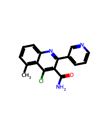 Cc1cccc2nc(-c3cccnc3)c(C(N)=O)c(Cl)c12